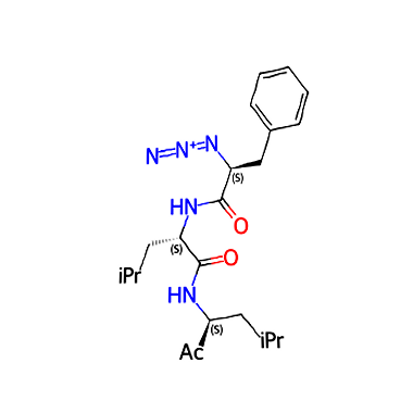 CC(=O)[C@H](CC(C)C)NC(=O)[C@H](CC(C)C)NC(=O)[C@H](Cc1ccccc1)N=[N+]=[N-]